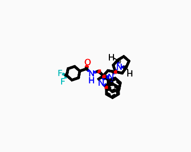 Cc1nc2ccccc2n1[C@H]1C[C@H]2CC[C@@H](C1)N2CCC(C)(CNC(=O)C1CCC(F)(F)CC1)c1ccccc1